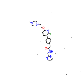 CN1CCN(CCOc2ccc(-c3ccc(CC(=O)NCc4ncccn4)cc3)c(F)n2)CC1